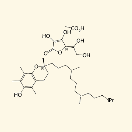 CC(=O)O.Cc1c(C)c2c(c(C)c1O)CC[C@@](C)(CCCC(C)CCCC(C)CCCC(C)C)O2.O=C1O[C@H](C(O)CO)C(O)=C1O